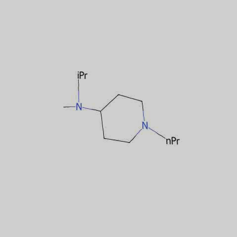 CCCN1CCC(N(C)C(C)C)CC1